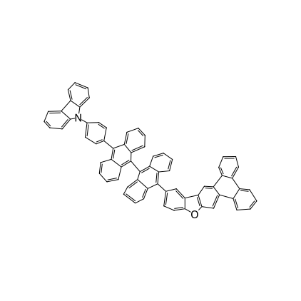 c1ccc2c(-c3c4ccccc4c(-c4ccc5oc6cc7c8ccccc8c8ccccc8c7cc6c5c4)c4ccccc34)c3ccccc3c(-c3ccc(-n4c5ccccc5c5ccccc54)cc3)c2c1